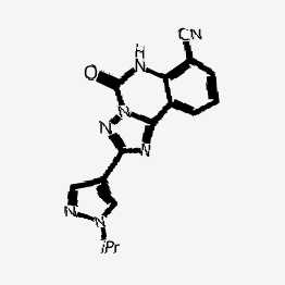 CC(C)n1cc(-c2nc3c4cccc(C#N)c4[nH]c(=O)n3n2)cn1